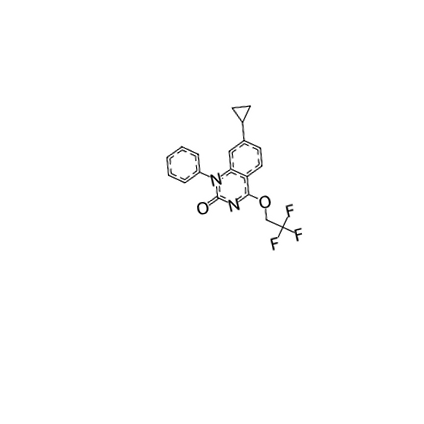 O=c1nc(OCC(F)(F)F)c2ccc(C3CC3)cc2n1-c1ccccc1